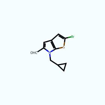 O=Cc1cc2cc(Br)sc2n1CC1CC1